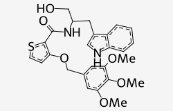 COc1cc(COc2ccsc2C(=O)NC(CO)Cc2c[nH]c3ccccc23)cc(OC)c1OC